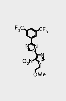 COCCn1cnc(-n2cnc(-c3cc(C(F)(F)F)cc(C(F)(F)F)c3)n2)c1[N+](=O)[O-]